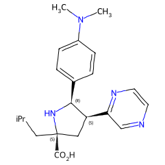 CC(C)C[C@@]1(C(=O)O)C[C@H](c2cnccn2)[C@H](c2ccc(N(C)C)cc2)N1